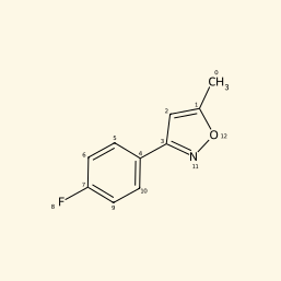 Cc1cc(-c2ccc(F)cc2)no1